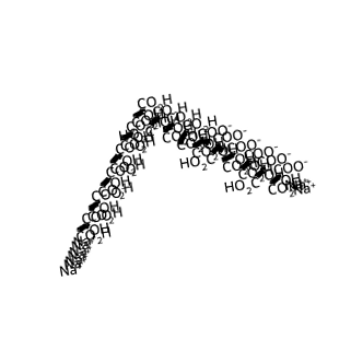 O=C(O)CC(O)C(=O)O.O=C(O)CC(O)C(=O)O.O=C(O)CC(O)C(=O)O.O=C(O)CC(O)C(=O)O.O=C(O)CC(O)C(=O)O.O=C(O)CC(O)C(=O)[O-].O=C(O)CC(O)C(=O)[O-].O=C(O)CC(O)C(=O)[O-].O=C(O)CC(O)C(=O)[O-].O=C(O)CC(O)C(=O)[O-].O=C(O)CC(O)C(=O)[O-].O=C(O)CC(O)C(=O)[O-].O=C(O)CC(O)C(=O)[O-].O=C(O)CC(O)C(=O)[O-].O=C(O)CC(O)C(=O)[O-].[Na+].[Na+].[Na+].[Na+].[Na+].[Na+].[Na+].[Na+].[Na+].[Na+]